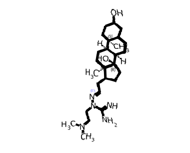 CN(C)CCN(/N=C/CC1CC[C@@]2(O)[C@@H]3CCC4CC(O)CC[C@]4(C)[C@@H]3CC[C@]12C)C(=N)N